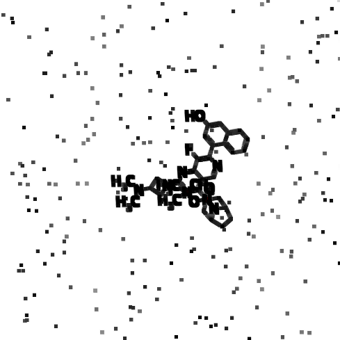 CN(C)C1CN(c2nc(N3CC4CCC(C3)N4C(=O)OC(C)(C)C)c3cnc(-c4cc(O)cc5ccccc45)c(F)c3n2)C1